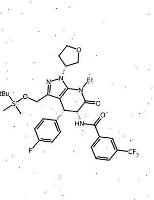 CCN1C(=O)[C@H](NC(=O)c2cccc(C(F)(F)F)c2)[C@H](c2ccc(F)cc2)c2c(CO[Si](C)(C)C(C)(C)C)nn([C@@H]3CCOC3)c21